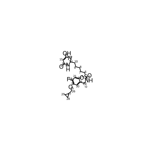 C[C@@H](NS(=O)(=O)CCCCCc1nc(O)cc(=O)[nH]1)c1ccc(F)c(OCC2CC2)c1